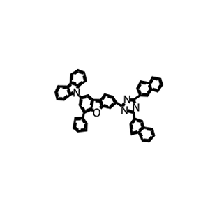 c1ccc(-c2cc(-n3c4ccccc4c4ccccc43)cc3c2oc2cc(-c4nc(-c5ccc6ccccc6c5)nc(-c5ccc6ccccc6c5)n4)ccc23)cc1